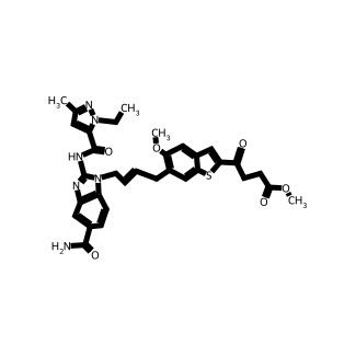 CCn1nc(C)cc1C(=O)Nc1nc2cc(C(N)=O)ccc2n1C/C=C/Cc1cc2sc(C(=O)CCC(=O)OC)cc2cc1OC